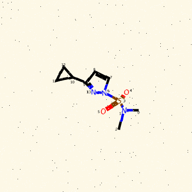 CN(C)S(=O)(=O)n1ccc(C2CC2)n1